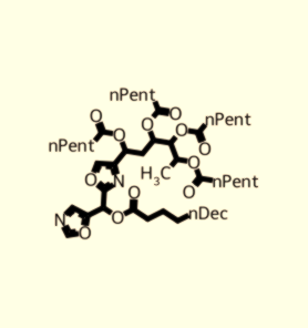 CCCCCCCCCCCCCC(=O)OC(c1cnco1)c1nc(C(CC(OC(=O)CCCCC)C(OC(=O)CCCCC)C(C)OC(=O)CCCCC)OC(=O)CCCCC)co1